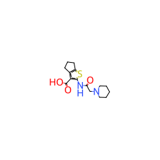 O=C(CN1CCCCC1)Nc1sc2c(c1C(=O)O)CCC2